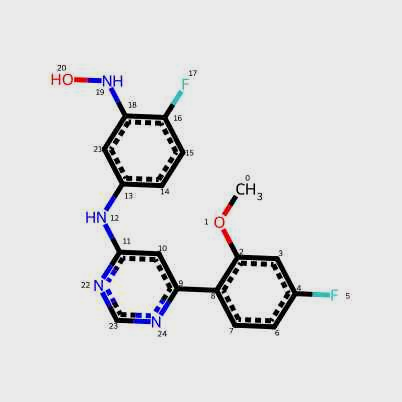 COc1cc(F)ccc1-c1cc(Nc2ccc(F)c(NO)c2)ncn1